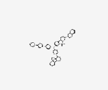 CC1(C)c2cc(-c3ccc4ccccc4c3)ccc2-c2ccc(C(c3ccc(-c4ccc(-c5ccccc5)cc4)cc3)c3ccc(-c4cccc5c4oc4ccccc45)cc3)cc21